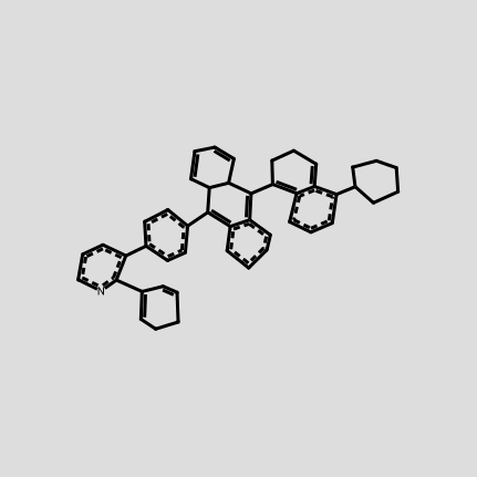 C1=CC2C(C3=c4cccc(C5CCCCC5)c4=CCC3)=c3ccccc3=C(c3ccc(-c4cccnc4C4=CCCC=C4)cc3)C2C=C1